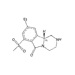 CCc1cc2c(c(S(C)(=O)=O)c1)C(=O)N1CCNC[C@@H]21